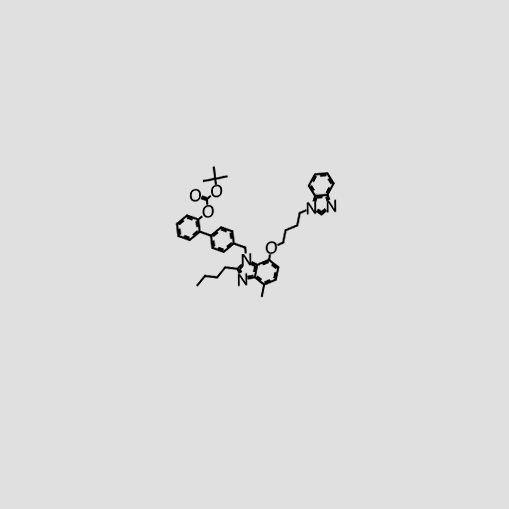 CCCCc1nc2c(C)ccc(OCCCCn3cnc4ccccc43)c2n1Cc1ccc(-c2ccccc2OC(=O)OC(C)(C)C)cc1